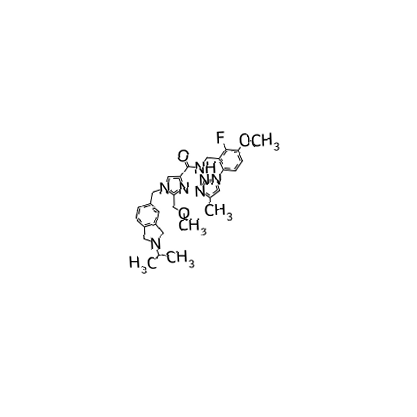 COCc1nc(C(=O)NCc2c(-n3cc(C)nn3)ccc(OC)c2F)cn1Cc1ccc2c(c1)CN(C(C)C)C2